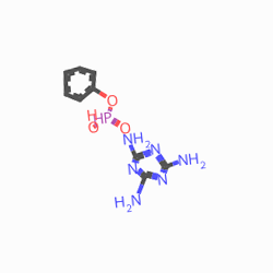 Nc1nc(N)nc(N)n1.O=[PH](O)Oc1ccccc1